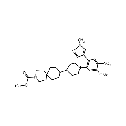 COc1cc(N2CCC(N3CCC4(CCN(C(=O)OC(C)(C)C)CC4)CC3)CC2)c(-c2cnn(C)c2)cc1[N+](=O)[O-]